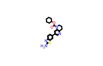 Nc1nc2ccc(-c3cnc4c(c3)N(C(=O)OC3CCCCC3)CCC4)cc2s1